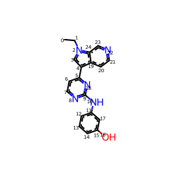 CCn1cc(-c2ccnc(Nc3cccc(O)c3)n2)c2ccncc21